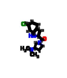 CN(C)C1CCN(C(=O)c2cc3ccc(Cl)cc3[nH]2)C1